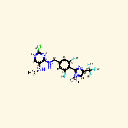 CNc1cnc(Cl)nc1NCc1cc(F)c(-c2nc(C(F)(F)F)cn2C)c(F)c1